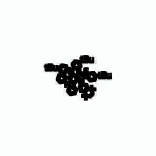 CC(C)(C)c1ccc(N2c3ccc(C(C)(C)C)cc3B3c4sc5cc(C(C)(C)C)ccc5c4N(c4ccc5c(c4)C(C)(C)CCC5(C)C)c4c3c2c2c3ccccc3n3c5ccccc5c4c23)cc1